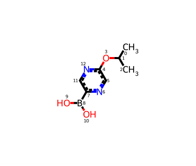 CC(C)Oc1cnc(B(O)O)cn1